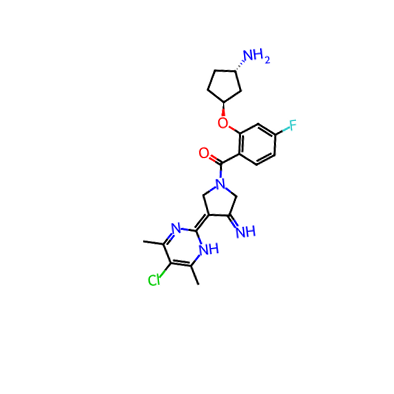 CC1=N/C(=C2\CN(C(=O)c3ccc(F)cc3O[C@H]3CC[C@H](N)C3)CC2=N)NC(C)=C1Cl